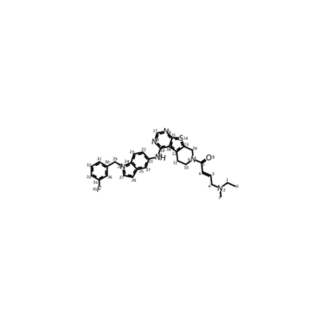 CCN(C)C/C=C/C(=O)N1CCc2c(sc3ncnc(Nc4ccc5c(ccn5Cc5cccc(F)c5)c4)c23)C1